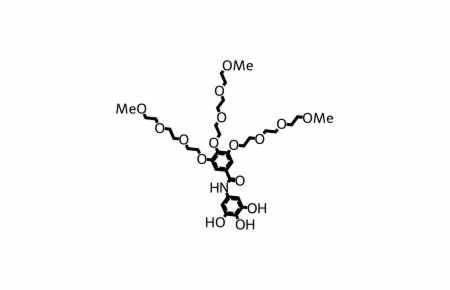 COCCOCCOCCOc1cc(C(=O)Nc2cc(O)c(O)c(O)c2)cc(OCCOCCOCCOC)c1OCCOCCOCCOC